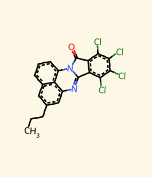 CCCc1cc2c3c(cccc3c1)N1C(=O)c3c(Cl)c(Cl)c(Cl)c(Cl)c3C1=N2